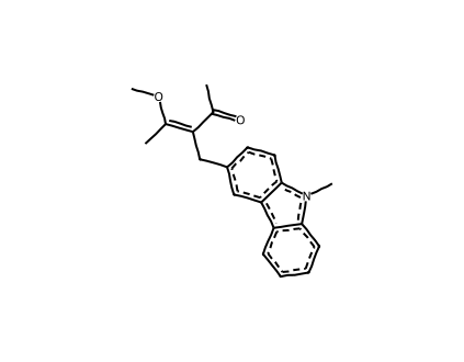 CO/C(C)=C(/Cc1ccc2c(c1)c1ccccc1n2C)C(C)=O